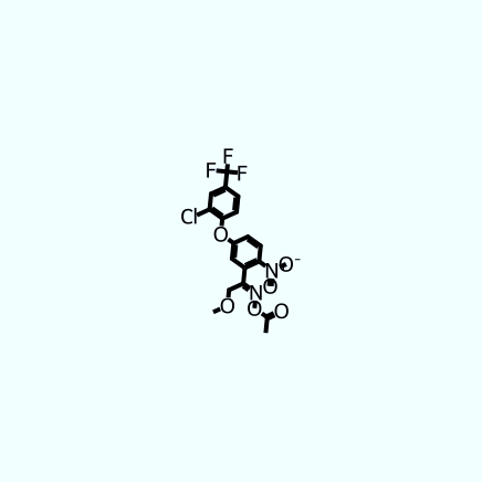 COCC(=NOC(C)=O)c1cc(Oc2ccc(C(F)(F)F)cc2Cl)ccc1[N+](=O)[O-]